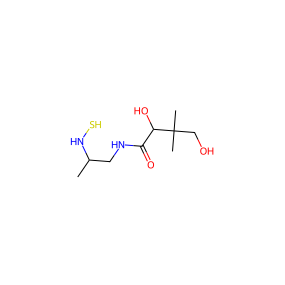 CC(CNC(=O)C(O)C(C)(C)CO)NS